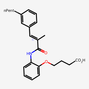 CCCCCc1cccc(/C=C(\C)C(=O)Nc2ccccc2OCCCC(=O)O)c1